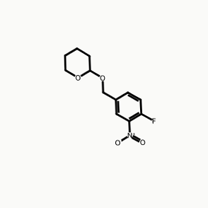 O=[N+]([O-])c1cc(COC2CCCCO2)ccc1F